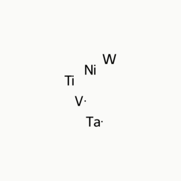 [Ni].[Ta].[Ti].[V].[W]